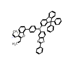 C=Cc1oc2c(-c3ccc(N(c4ccc5c(c4)C(c4ccccc4)(c4ccccc4)c4ccccc4-5)c4ccc5sc(-c6ccccc6)nc5c4)cc3)cccc2c1/C=C\C